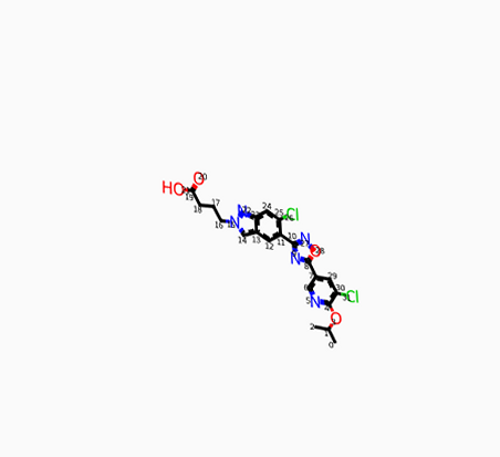 CC(C)Oc1ncc(-c2nc(-c3cc4cn(CCCC(=O)O)nc4cc3Cl)no2)cc1Cl